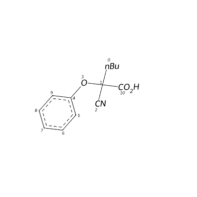 CCCCC(C#N)(Oc1ccccc1)C(=O)O